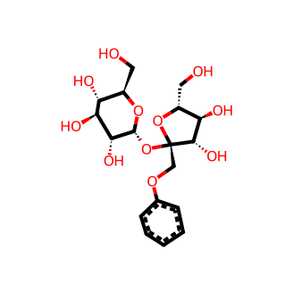 OC[C@H]1O[C@@](COc2ccccc2)(O[C@H]2O[C@H](CO)[C@@H](O)[C@H](O)[C@H]2O)[C@@H](O)[C@@H]1O